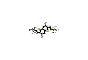 CC(C)[Si](c1cc2c(Cl)cc3c(cc(Cl)c4cc([Si](C(C)C)(C(C)C)C(C)C)sc43)c2s1)(C(C)C)C(C)C